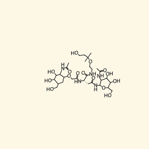 CC(=O)NC1C(OCC(=O)N[C@@H](CC(=O)NC2OC(CO)C(O)C(O)C2NC(C)=O)C(=O)NCCOC(C)(C)CCO)CC(CO)C(O)C1O